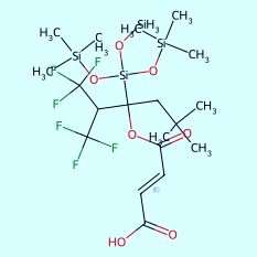 CC(C)(C)CC(OC(=O)/C=C/C(=O)O)(C(C(F)(F)F)C(F)(F)F)[Si](O[SiH3])(O[Si](C)(C)C)O[Si](C)(C)C